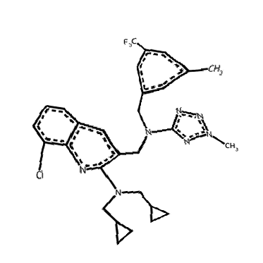 Cc1cc(CN(Cc2cc3cccc(Cl)c3nc2N(CC2CC2)CC2CC2)c2nnn(C)n2)cc(C(F)(F)F)c1